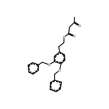 CC(=O)CC(=O)OCCc1ccc(OCc2ccccc2)c(OCc2ccccc2)c1